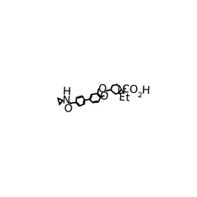 CCC1CC(C2OCc3cc(-c4ccc(C(=O)NC5CC5)cc4)ccc3O2)CCN1C(=O)O